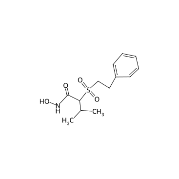 CC(C)C(C(=O)NO)S(=O)(=O)CCc1ccccc1